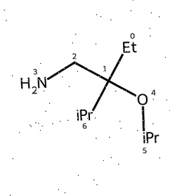 CCC(CN)(OC(C)C)C(C)C